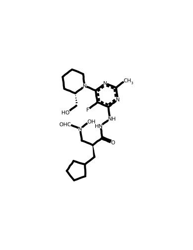 Cc1nc(NNC(=O)[C@@H](CC2CCCC2)CN(O)C=O)c(F)c(N2CCCC[C@H]2CO)n1